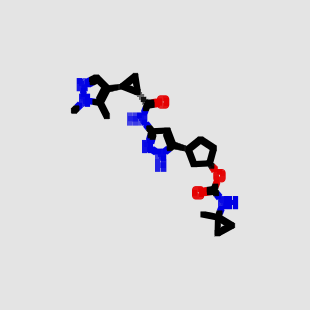 Cc1c([C@H]2C[C@@H]2C(=O)Nc2cc([C@H]3CC[C@@H](OC(=O)NC4(C)CC4)C3)[nH]n2)cnn1C